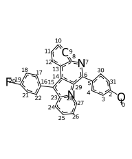 COc1ccc(-c2nc3ccccc3c3c(-c4ccc(F)cc4)c4ccccn4c23)cc1